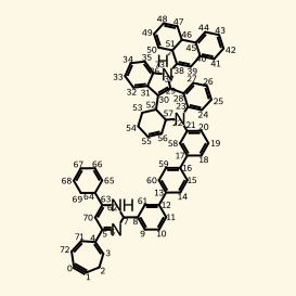 C1#CCC=C(C2=NC(c3cccc(-c4ccc(-c5cccc(N6c7ccccc7-c7c(c8ccccc8n7C7=Cc8ccccc8C8C=CC=C[C@H]78)C7CCC=CC76)c5)cc4)c3)NC(C3C=CC=CC3)=C2)C=C1